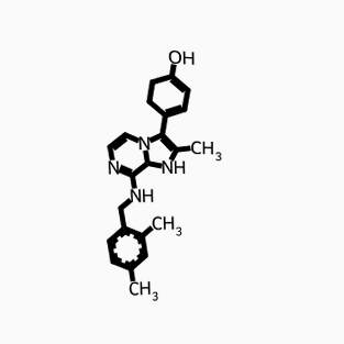 CC1=C(C2=CC=C(O)CC2)N2C=CN=C(NCc3ccc(C)cc3C)C2N1